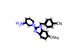 COc1ccc2nc(N3CCCC(N)C3)n(Cc3ccc(C#N)cc3)c2c1